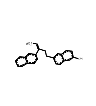 O=C(O)C=C(CCc1ccc2cc(O)ccc2c1)c1ccc2ccccc2c1